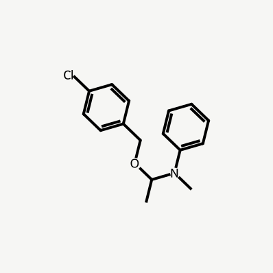 CC(OCc1ccc(Cl)cc1)N(C)c1ccccc1